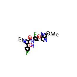 CCn1cc(C(=O)Nc2ccc(Oc3ccnc4cc(OC)cnc34)c(F)c2)c(=O)c(-c2ccc(F)cc2)c1